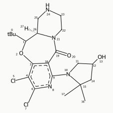 CC(C)(C)C1Oc2c(Cl)c(Cl)nc(N3CC(O)CC3(C)C)c2C(=O)N2CCNC[C@H]12